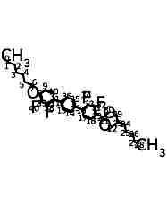 CCCCCCCOc1ccc(-c2ccc(-c3ccc(C4OCC(CCCCC)CO4)c(F)c3F)cc2)c(F)c1F